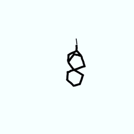 IC1CC2CC1CC21CCCCC1